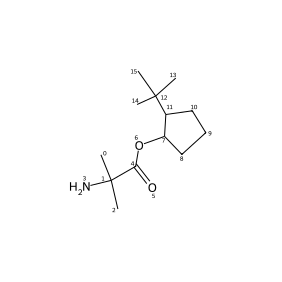 CC(C)(N)C(=O)OC1CCCC1C(C)(C)C